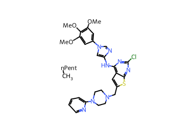 CCCCCC.COc1cc(-n2cnc(Nc3nc(Cl)nc4sc(CN5CCN(c6ccccn6)CC5)cc34)c2)cc(OC)c1OC